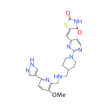 COc1ccc(-c2cn[nH]c2)nc1CNCC1CCN(c2nccc(C=C3SC(=O)NC3=O)n2)CC1